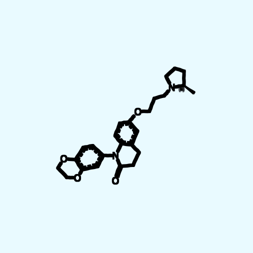 C[C@@H]1CCCN1CCCOc1ccc2c(c1)CCC(=O)N2c1ccc2c(c1)OCCO2